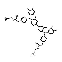 Cc1ccc(C(c2ccc(CC(=O)OCC3CO3)cc2)c2ccc(-c3ccc(N(c4ccc(CC(=O)OCC5CO5)cc4)c4ccc(C)c(C)c4)c(C)c3)cc2C)cc1C